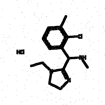 CCN1CCN=C1C(NC)c1cccc(C)c1Cl.Cl